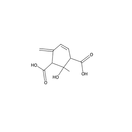 C=C1C=CC(C(=O)O)C(C)(O)C1C(=O)O